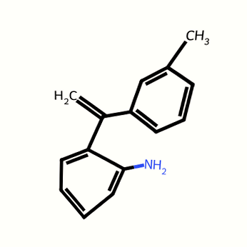 C=C(c1cccc(C)c1)c1ccccc1N